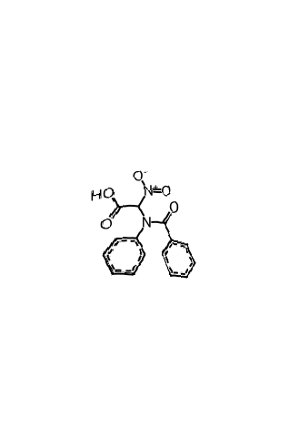 O=C(O)C(N(C(=O)c1ccccc1)c1ccccc1)[N+](=O)[O-]